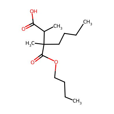 CCCCOC(=O)C(C)(CCCC)C(C)C(=O)O